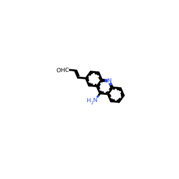 Nc1c2ccccc2nc2ccc(/C=C/C=O)cc12